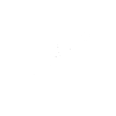 CCOC(=O)CCC[C@H]1CC[C@@H]2[C@@H](C=C[C@@H](O)COc3ccccc3)[C@H](O)C[C@@H]2OC1